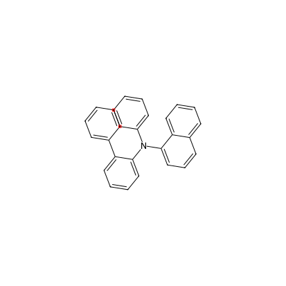 c1ccc(-c2ccccc2N(c2ccccc2)c2cccc3ccccc23)cc1